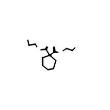 CCCOC(=O)C1(C(=O)OCCC)CCCCC1